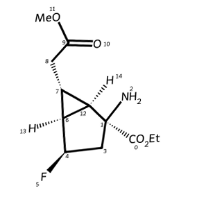 CCOC(=O)[C@]1(N)C[C@@H](F)[C@H]2[C@H](CC(=O)OC)[C@H]21